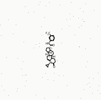 C[C@]12CC[C@H]3[C@@H](CC=C4N(C5CC5)C(=O)CC[C@@]43C)[C@@H]1CC[C@@H]2C(=O)Nc1cccc(C(F)(F)F)c1